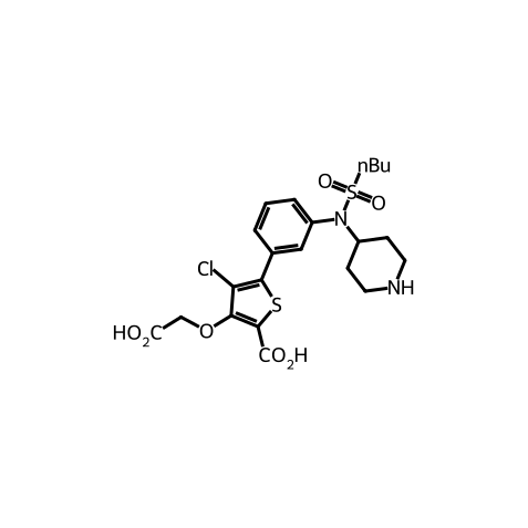 CCCCS(=O)(=O)N(c1cccc(-c2sc(C(=O)O)c(OCC(=O)O)c2Cl)c1)C1CCNCC1